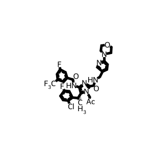 CC(=O)Cn1c(C(=O)NCc2ccc(N3CCOCC3)nc2)nc(NC(=O)c2cc(F)cc(C(F)(F)F)c2)c1[C@@H](C)c1cc(F)ccc1Cl